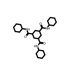 O=C(NC1CCCCC1)C1CC(C(=O)NC2CCCCC2)CC(C(=O)NC2CCCCC2)C1